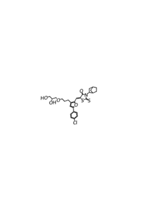 O=C1/C(=C/c2oc(-c3ccc(Cl)cc3)cc2CCCOC[C@@H](O)CO)SC(=S)N1C1CC2CCC1C2